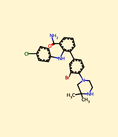 CC1(C)CN(c2ccc(-c3cccc(C(N)=O)c3Nc3ccc(Cl)cc3)cc2Br)CCN1